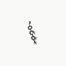 C=CC[C@H]1CC[C@H](c2ccc(-c3ccc(C#N)c(F)c3)nc2)CC1